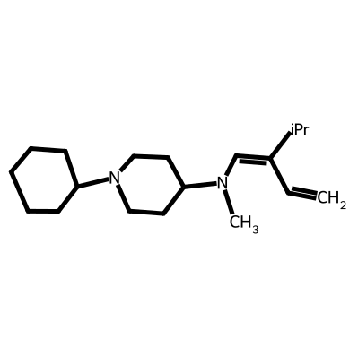 C=C/C(=C\N(C)C1CCN(C2CCCCC2)CC1)C(C)C